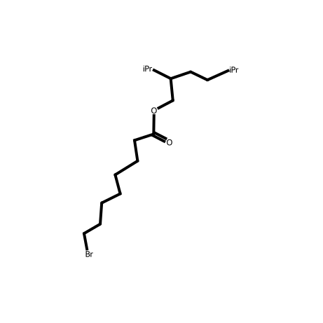 CC(C)CCC(COC(=O)CCCCCCCBr)C(C)C